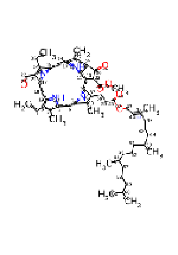 C=Cc1c(C)c2cc3nc(c4c5[nH]c(cc6nc(cc1[nH]2)C(C=O)=C6CC)c(C)c5C(=O)C4C(=O)OC)C(CCC(=O)OC/C=C(\C)CCCC(C)CCCC(C)CCCC(C)C)C3C